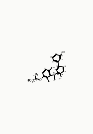 Cc1c(OC(C(=O)O)C(C)C)ccc(F)c1N(C)c1cc(-c2cccc(F)c2)ccc1F